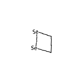 C1C[Se][Se]1